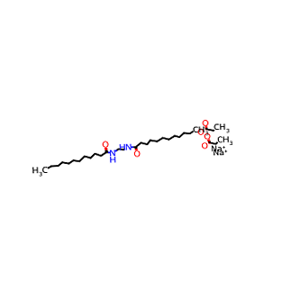 CCC(=O)[O-].CCC(=O)[O-].CCCCCCCCCCCC(=O)NCCNC(=O)CCCCCCCCCCC.[Na+].[Na+]